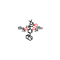 CC1(C)C2CC1[C@H](c1c(O[Si](C)(C)C(C)(C)C)cc(C34CC5CC(CC(C5)C3)C4)cc1O[Si](C)(C)C(C)(C)C)CC2=O